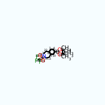 CC1(C)OB(c2ccc3c(c2)CCN(S(=O)(=O)C(F)(F)F)CC3)OC1(C)C